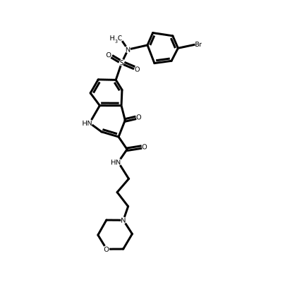 CN(c1ccc(Br)cc1)S(=O)(=O)c1ccc2[nH]cc(C(=O)NCCCN3CCOCC3)c(=O)c2c1